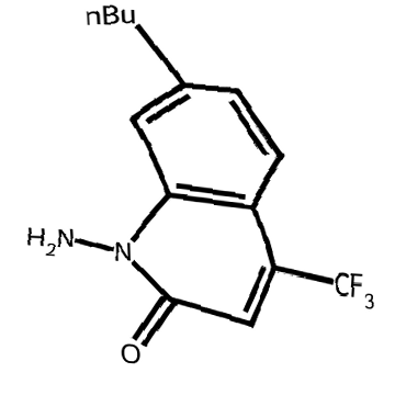 CCCCc1ccc2c(C(F)(F)F)cc(=O)n(N)c2c1